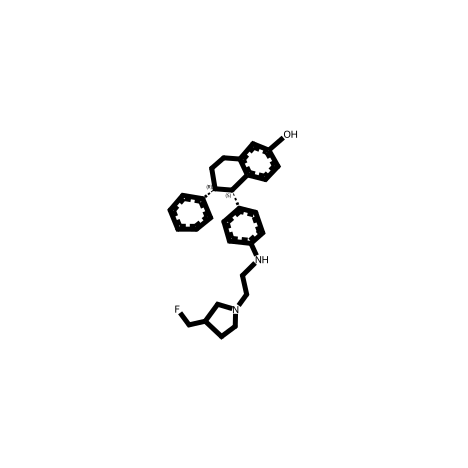 Oc1ccc2c(c1)CC[C@@H](c1ccccc1)[C@H]2c1ccc(NCCN2CCC(CF)C2)cc1